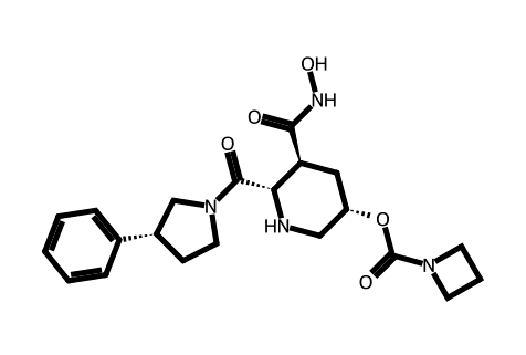 O=C(NO)[C@H]1C[C@H](OC(=O)N2CCC2)CN[C@@H]1C(=O)N1CC[C@H](c2ccccc2)C1